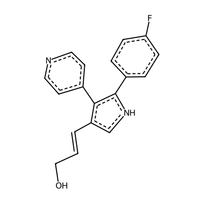 OC/C=C/c1c[nH]c(-c2ccc(F)cc2)c1-c1ccncc1